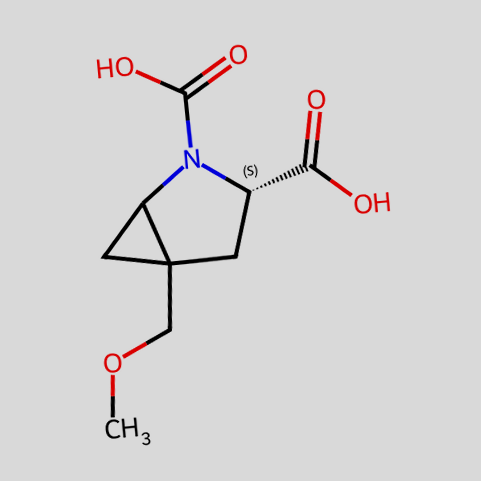 COCC12CC1N(C(=O)O)[C@H](C(=O)O)C2